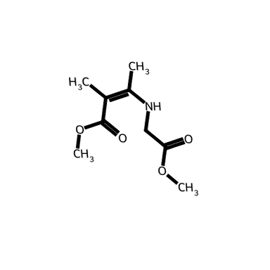 COC(=O)CNC(C)=C(C)C(=O)OC